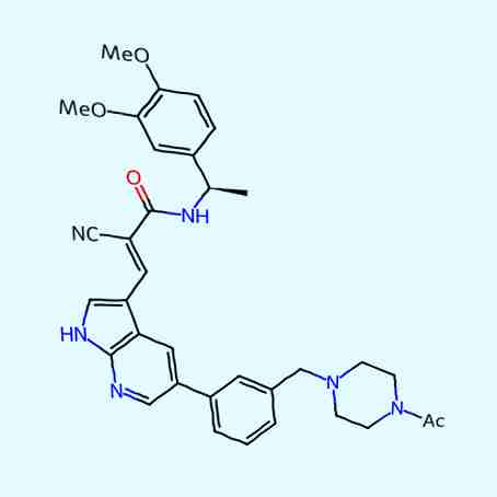 COc1ccc([C@@H](C)NC(=O)/C(C#N)=C/c2c[nH]c3ncc(-c4cccc(CN5CCN(C(C)=O)CC5)c4)cc23)cc1OC